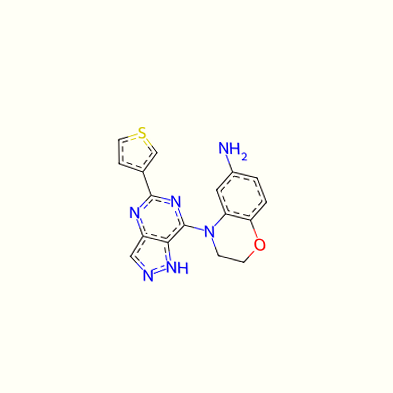 Nc1ccc2c(c1)N(c1nc(-c3ccsc3)nc3cn[nH]c13)CCO2